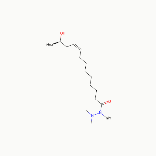 CCCCCC[C@@H](O)C/C=C\CCCCCCCC(=O)N(CCC)N(C)C